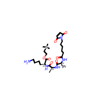 CC(C)[C@H](NC(=O)CCCCCN1C(=O)C=CC1=O)C(=O)N[C@@H](C)C(=O)N[C@@H](CCCCN)C(=O)OCC[Si](C)(C)C